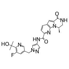 C[C@@H]1CNC(=O)c2cc3ccc(C(=O)Nc4cnn(Cc5cnc(C(C)(C)O)c(F)c5)c4)nc3n21